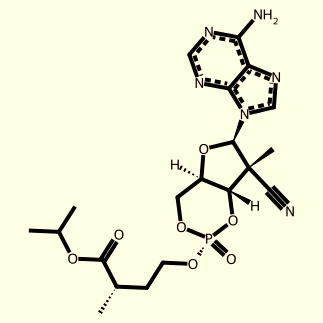 CC(C)OC(=O)[C@@H](C)CCO[P@]1(=O)OC[C@H]2O[C@@H](n3cnc4c(N)ncnc43)[C@](C)(C#N)[C@@H]2O1